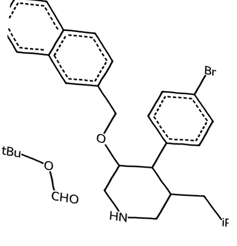 CC(C)(C)OC=O.CC(C)CC1CNCC(OCc2ccc3ccccc3c2)C1c1ccc(Br)cc1